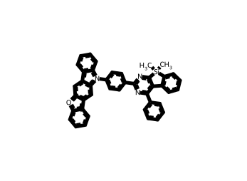 C[Si]1(C)c2ccccc2-c2c(-c3ccccc3)nc(-c3ccc(-n4c5ccccc5c5cc6oc7ccccc7c6cc54)cc3)nc21